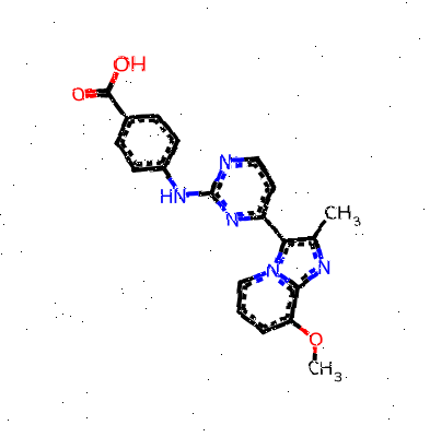 COc1cccn2c(-c3ccnc(Nc4ccc(C(=O)O)cc4)n3)c(C)nc12